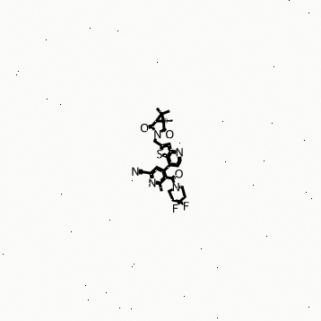 Cc1nc(C#N)cc(-c2ccnc3cc(CN4C(=O)C5C(C)(C)[C@]5(C)C4=O)sc23)c1C(=O)N1CCC(F)(F)CC1